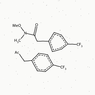 CC(=O)Cc1ccc(C(F)(F)F)cc1.CON(C)C(=O)Cc1ccc(C(F)(F)F)cc1